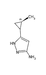 C[C@@H]1CC1c1cc(N)n[nH]1